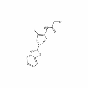 O=C(CCl)Nc1ccc(-c2nc3ccccc3s2)cc1I